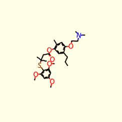 CCCc1cc(OC(=O)CC(C)(C)Sc2c(OC)cc(OC)cc2OC)c(C)cc1OCCN(C)C